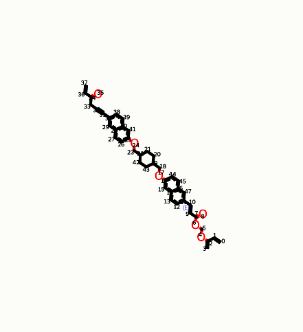 C=CC(=C)OCOC(=O)/C=C/c1ccc2cc(OCC3CCC(COc4ccc5cc(C#CCC(=O)C=C)ccc5c4)CC3)ccc2c1